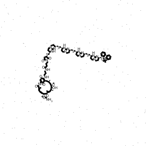 CO[C@H]1C[C@H](C)CC2=C(NCCCNC(=O)CCCN3C(=O)CC(SC[C@H]4CCN5CC[C@H](CSC[C@H]6CCN7CC[C@H](CSC[C@H]8CCN9CC[C@H](CSC[C@H]%10CCN%11CC[C@H](CO[Si](c%12ccccc%12)(c%12ccccc%12)C(C)(C)C)N=C%11N%10)N=C9N8)N=C7N6)N=C5N4)C3=O)C(=O)C=C(NC(=O)/C(C)=C/C=C\[C@@H](OC)[C@@H](OC(N)=O)/C(C)=C/[C@H](C)[C@H]1O)C2=O